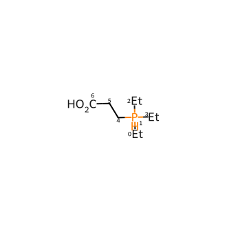 CC[PH](CC)(CC)CCC(=O)O